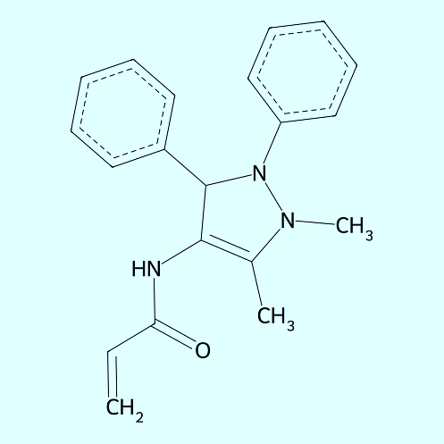 C=CC(=O)NC1=C(C)N(C)N(c2ccccc2)C1c1ccccc1